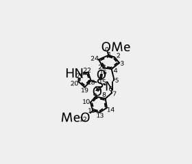 COc1ccc(CN(Cc2ccc(OC)cc2)S(=O)(=O)c2cc[nH]c2)cc1